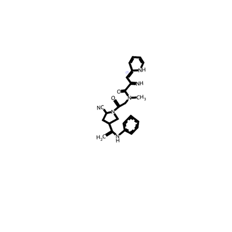 C=C(Nc1ccccc1)C1CC(C#N)N(C(=O)CN(C)C(=O)C(=N)/C=C2/C=CC=CN2)C1